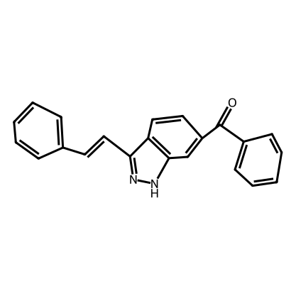 O=C(c1ccccc1)c1ccc2c(/C=C/c3ccccc3)n[nH]c2c1